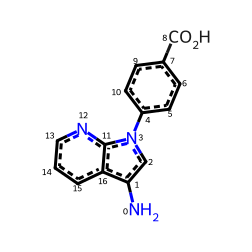 Nc1cn(-c2ccc(C(=O)O)cc2)c2ncccc12